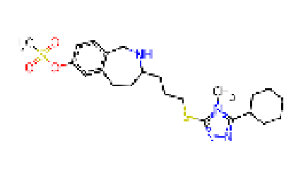 Cn1c(SCCCC2CCc3cc(OS(C)(=O)=O)ccc3CN2)nnc1C1CCCCC1